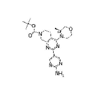 C[C@H]1COCCN1c1nc(-c2cnc(N)nc2)nc2c1CCN(C(=O)OC(C)(C)C)C2